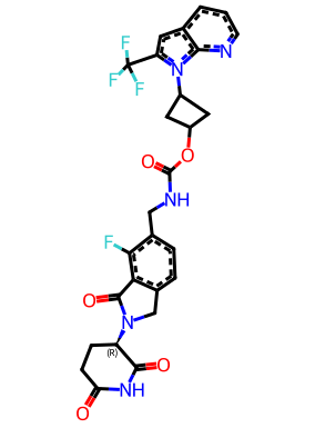 O=C1CC[C@@H](N2Cc3ccc(CNC(=O)OC4CC(n5c(C(F)(F)F)cc6cccnc65)C4)c(F)c3C2=O)C(=O)N1